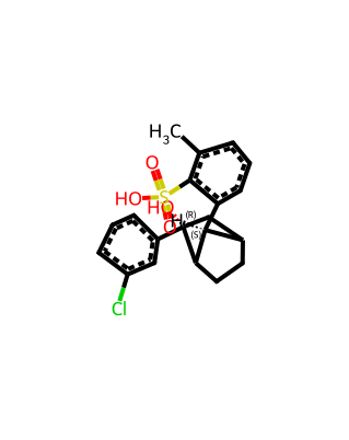 Cc1cccc([C@H]2C3CCC2[C@@](O)(c2cccc(Cl)c2)C3)c1S(=O)(=O)O